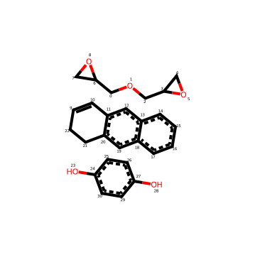 C(OCC1CO1)C1CO1.C1=Cc2cc3ccccc3cc2CC1.Oc1ccc(O)cc1